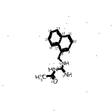 CC(=O)NC(=N)NCc1cccc2ccccc12